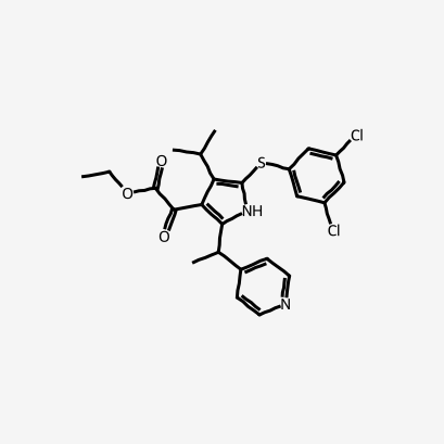 CCOC(=O)C(=O)c1c(C(C)c2ccncc2)[nH]c(Sc2cc(Cl)cc(Cl)c2)c1C(C)C